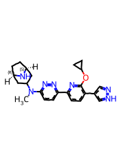 CN(c1ccc(-c2ccc(-c3cn[nH]c3)c(OC3CC3)n2)nn1)C1C[C@H]2CC[C@@H](C1)N2